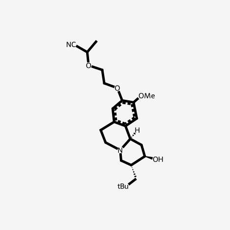 COc1cc2c(cc1OCCOC(C)C#N)CCN1C[C@@H](CC(C)(C)C)[C@H](O)C[C@H]21